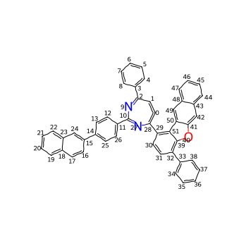 C1=CC(c2ccccc2)=NC(c2ccc(-c3ccc4ccccc4c3)cc2)=NC=1c1ccc(-c2ccccc2)c2oc3cc4ccccc4cc3c12